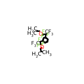 C=C(C)COC(F)(F)C(F)(c1cccc(C(F)(C(F)(F)F)C(F)(F)OCC(=C)C)c1)C(F)(F)F